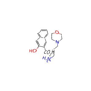 NCCCN1CCOCC1.O=C(O)c1cc2ccccc2cc1O